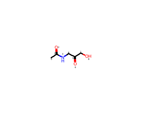 CC(=O)NCC(=O)CO